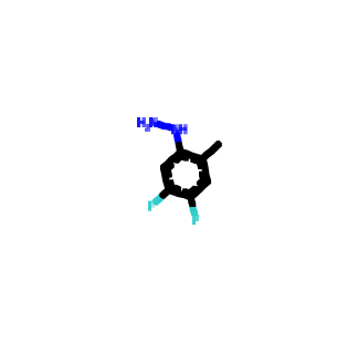 Cc1cc(F)c(F)cc1NN